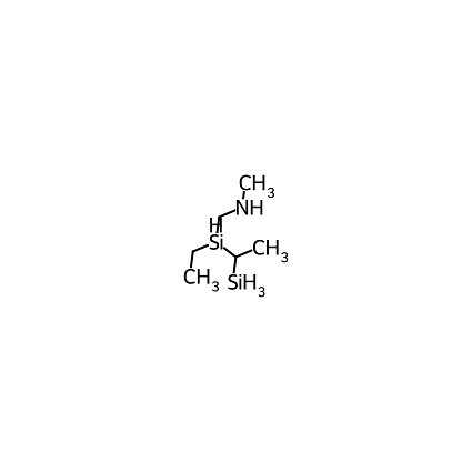 CC[SiH](CNC)C(C)[SiH3]